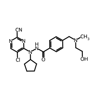 CN(CCO)Cc1ccc(C(=O)NN(c2nc(C#N)ncc2Cl)C2CCCC2)cc1